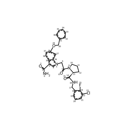 NC(=O)c1cn(CC(=O)N2CCC[C@H]2C(=O)NCc2cccc(Cl)c2F)c2cc(OCc3ccccc3)ccc12